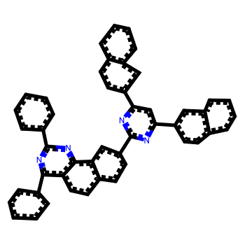 c1ccc(-c2nc(-c3ccccc3)c3ccc4ccc(-c5nc(-c6ccc7ccccc7c6)cc(-c6ccc7ccccc7c6)n5)cc4c3n2)cc1